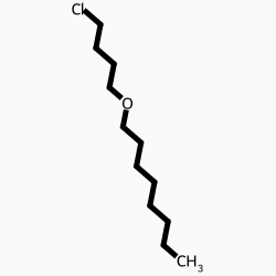 CCCCCCCCOCCCCCl